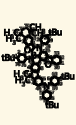 CC(C)(C)c1ccc(N2B3c4oc5cc6c(cc5c4N(c4ccc(C(C)(C)C)cc4)c4cc5c(oc7ccccc75)c(c43)-c3cc4c(cc32)C(C)(C)c2ccc(N(c3ccc(C(C)(C)C)cc3)c3ccc(C(C)(C)C)cc3)cc2-4)C(C)(C)CCC6(C)C)cc1